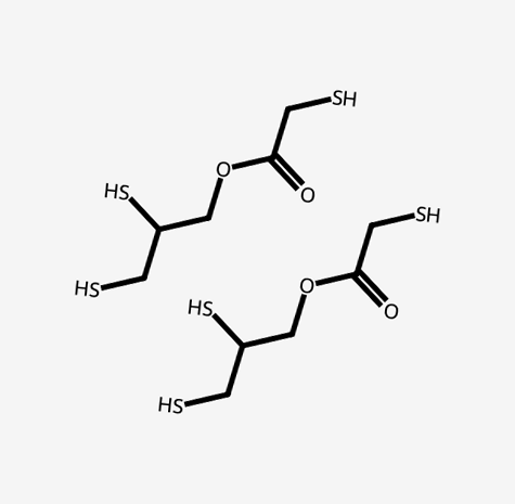 O=C(CS)OCC(S)CS.O=C(CS)OCC(S)CS